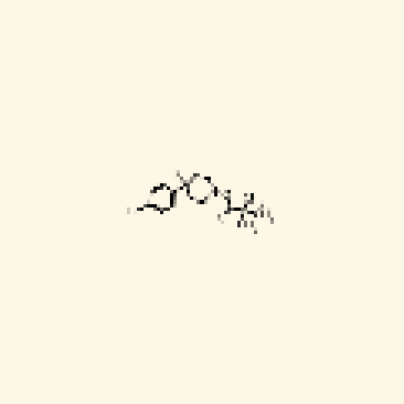 CC(C)(C)C(=O)ON1CCC(F)(c2ccc(Br)cc2)CC1